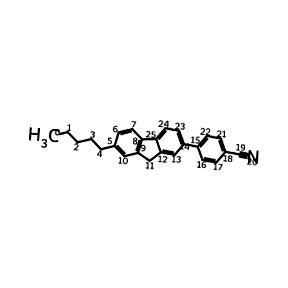 CCCCCc1ccc2c(c1)Cc1cc(-c3ccc(C#N)cc3)ccc1-2